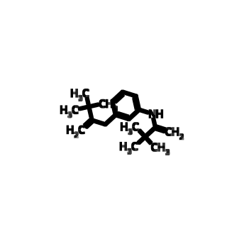 C=C(Cc1cccc(NC(=C)C(C)(C)C)c1)C(C)(C)C